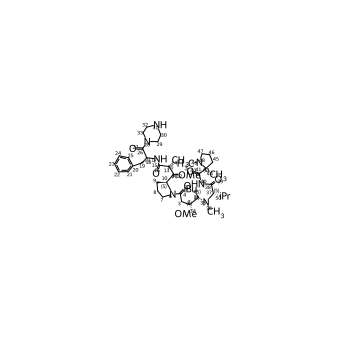 CC[C@H](C)[C@@H]([C@@H](CC(=O)N1CCC[C@H]1[C@H](OC)[C@@H](C)C(=O)N[C@@H](Cc1ccccc1)C(=O)N1CCNCC1)OC)N(C)[C@H](C(=O)NC(=O)[C@]1(C)CCCN1C)C(C)C